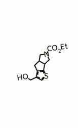 CCOC(=O)N1CC2Cc3c(CO)csc3C2C1